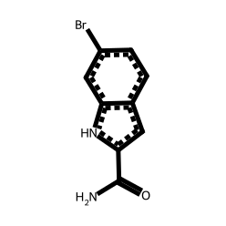 NC(=O)c1cc2ccc(Br)cc2[nH]1